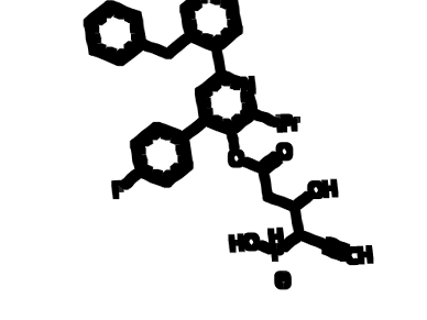 C#CC(C(O)CC(=O)Oc1c(-c2ccc(F)cc2)cc(-c2ccccc2Cc2ccccc2)nc1C(C)C)[PH](=O)O